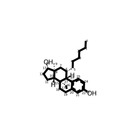 CCCCCC[C@H]1C[C@@]2(C)[C@@H](CC[C@@H]2O)[C@]2(CC)CCc3cc(O)ccc3[C@@H]12